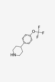 FC(F)(F)Oc1ccc(C2CCNCC2)cc1